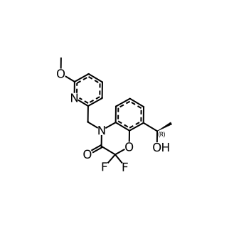 COc1cccc(CN2C(=O)C(F)(F)Oc3c([C@@H](C)O)cccc32)n1